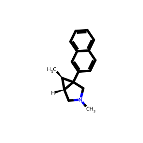 C[C@@H]1[C@H]2CN(C)CC12c1ccc2ccccc2c1